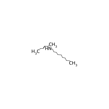 CCC=CC(C)NCCCCCCCCCC